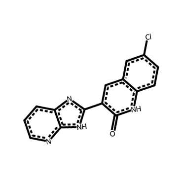 O=c1[nH]c2ccc(Cl)cc2cc1-c1nc2cccnc2[nH]1